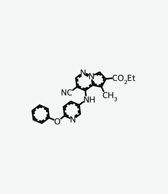 CCOC(=O)c1cn2ncc(C#N)c(Nc3ccc(Oc4ccccc4)nc3)c2c1C